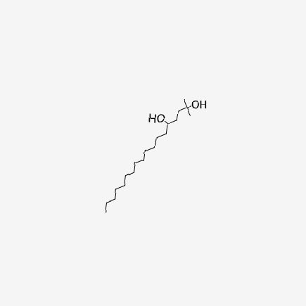 CCCCCCCCCCCCCC(O)CCC(C)(C)O